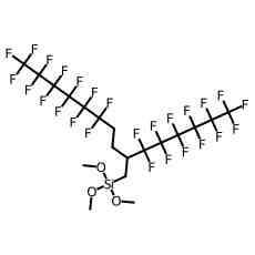 CO[Si](CC(CCC(F)(F)C(F)(F)C(F)(F)C(F)(F)C(F)(F)C(F)(F)F)C(F)(F)C(F)(F)C(F)(F)C(F)(F)C(F)(F)C(F)(F)F)(OC)OC